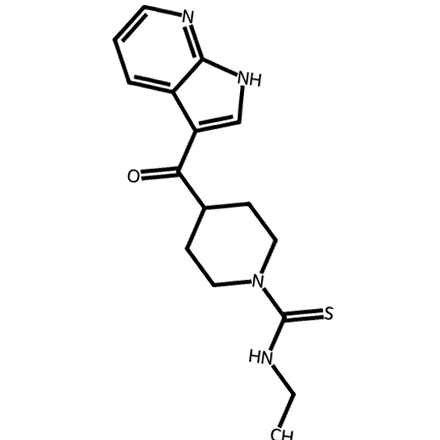 CCNC(=S)N1CCC(C(=O)c2c[nH]c3ncccc23)CC1